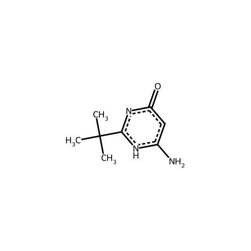 CC(C)(C)c1nc(=O)cc(N)[nH]1